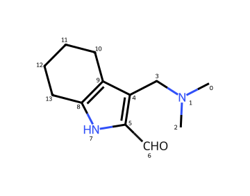 CN(C)Cc1c(C=O)[nH]c2c1CCCC2